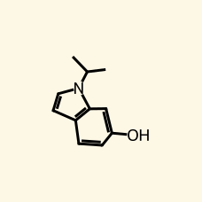 CC(C)n1ccc2ccc(O)cc21